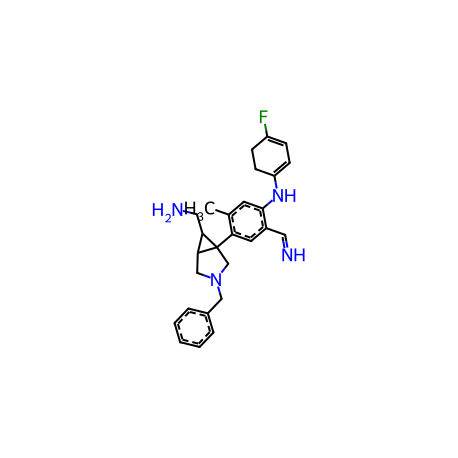 Cc1cc(NC2=CC=C(F)CC2)c(C=N)cc1C12CN(Cc3ccccc3)CC1C2CN